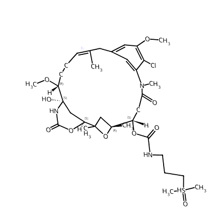 COc1cc2cc(c1Cl)N(C)C(=O)C[C@H](OC(=O)NCCC[SH](C)(C)=O)[C@@]1(C)CC(C)(O1)[C@@H]1C[C@@](O)(NC(=O)O1)[C@H](OC)CC/C=C(\C)C2